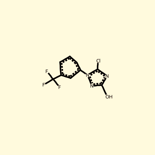 Oc1nc(Cl)n(-c2cccc(C(F)(F)F)c2)n1